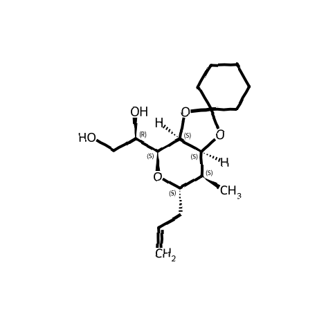 C=CC[C@@H]1O[C@@H]([C@H](O)CO)[C@H]2OC3(CCCCC3)O[C@H]2[C@H]1C